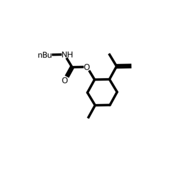 C=C(C)C1CCC(C)CC1OC(=O)NCCCC